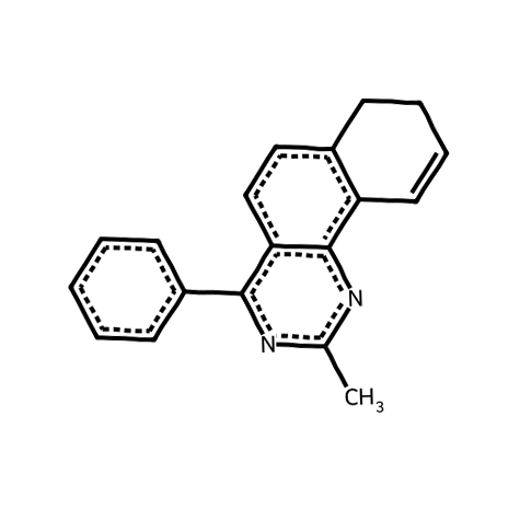 Cc1nc(-c2ccccc2)c2ccc3c(c2n1)C=CCC3